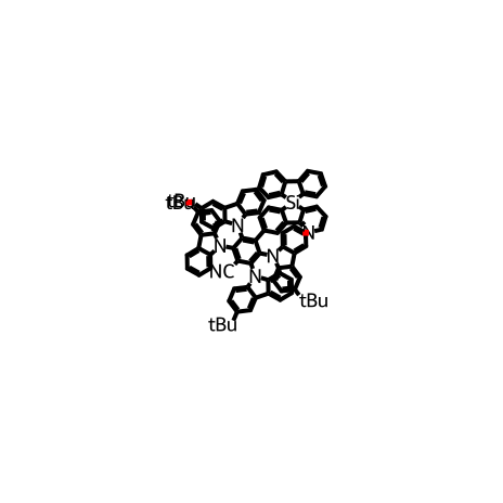 CC(C)(C)c1ccc2c(c1)c1ccccc1n2-c1c(C#N)c(-n2c3ccccc3c3cc(C(C)(C)C)ccc32)c(-n2c3ccccc3c3cc(C(C)(C)C)ccc32)c(-c2ccc3c(c2)-c2ncccc2[Si]32c3ccccc3-c3ccccc32)c1-n1c2ccccc2c2cc(C(C)(C)C)ccc21